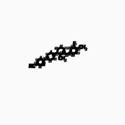 C=C1C(N2CCN(c3ccc(C#N)cn3)CC2)CCCN1Cc1ccc(C)c(F)c1